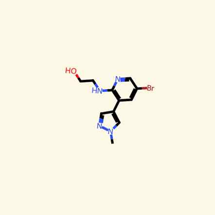 Cn1cc(-c2cc(Br)cnc2NCCO)cn1